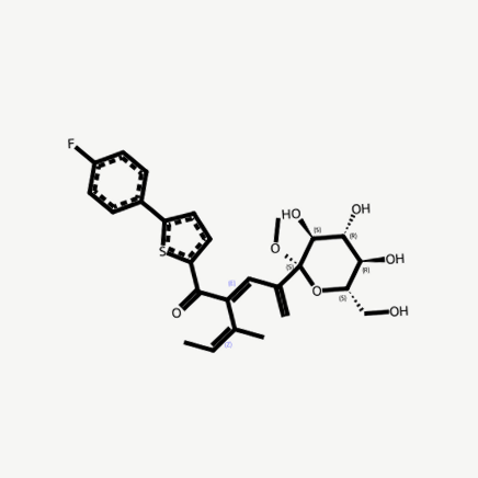 C=C(/C=C(C(=O)c1ccc(-c2ccc(F)cc2)s1)\C(C)=C/C)[C@]1(OC)O[C@@H](CO)[C@H](O)[C@@H](O)[C@@H]1O